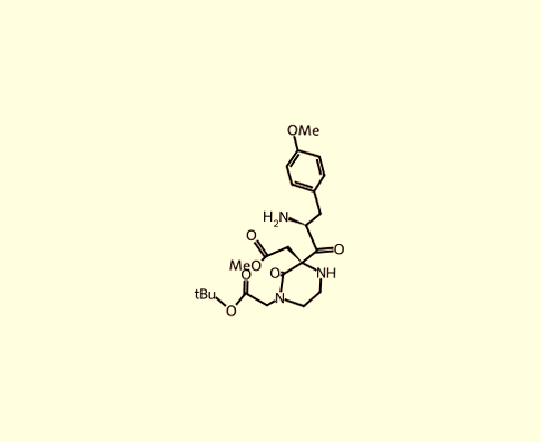 COC(=O)C[C@@]1(C(=O)[C@@H](N)Cc2ccc(OC)cc2)NCCN(CC(=O)OC(C)(C)C)C1=O